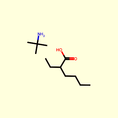 CC(C)(C)N.CCCCC(CC)C(=O)O